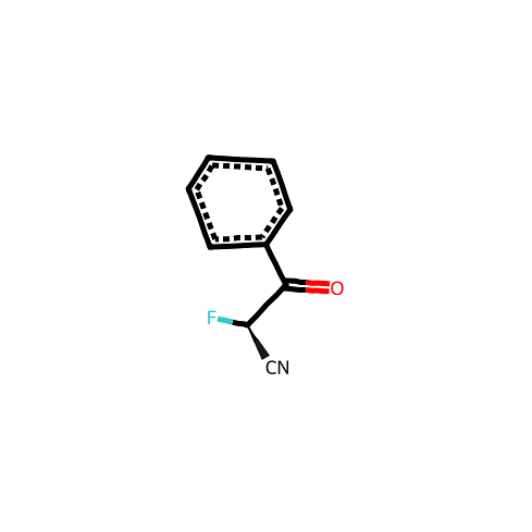 N#C[C@@H](F)C(=O)c1ccccc1